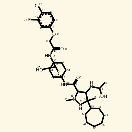 CC(O)NC1C(C(=O)NC23CCC(NC(=O)COc4ccc(Cl)c(F)c4)(CC2)C(O)C3)N(C)NC1(C)C1CCCCCC1